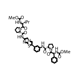 COC(=O)N[C@H](C(=O)N1CCC[C@H]1C(=O)Nc1cn2cc(-c3cccc(NC(=O)[C@@H]4CCCN4C(=O)[C@H](NC(=O)OC)c4ccccc4)c3)sc2n1)C(C)C